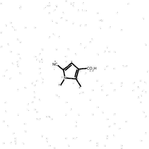 Cc1c(C(=O)O)cc(C#N)n1C